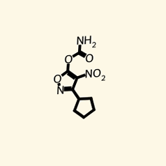 NC(=O)Oc1onc(C2CCCC2)c1[N+](=O)[O-]